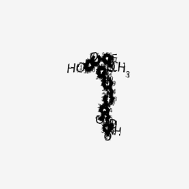 COc1cc(C2COc3cc(O)ccc3[C@H]2c2ccc(N3CCC(CN4CCN(c5ccc6c(c5)CN([C@H]5CCC(=O)NC5=O)C6=O)CC4)CC3)c(F)c2)ccc1F